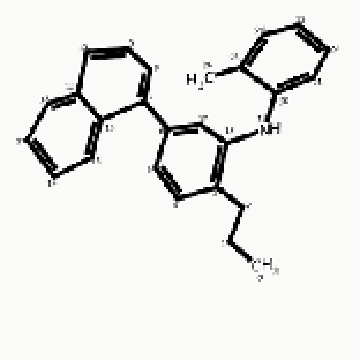 CCCc1ccc(-c2cccc3ccccc23)cc1Nc1ccccc1C